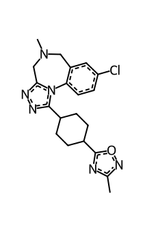 Cc1noc(C2CCC(c3nnc4n3-c3ccc(Cl)cc3CN(C)C4)CC2)n1